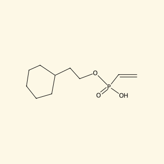 C=CP(=O)(O)OCCC1CCCCC1